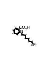 CC(C)CCCCCCOc1ccccc1C(=O)O